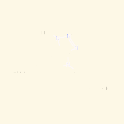 Cn1nnc2c1c1cc(C(=O)O)ccc1n2-c1ccc(C(F)(F)F)cc1